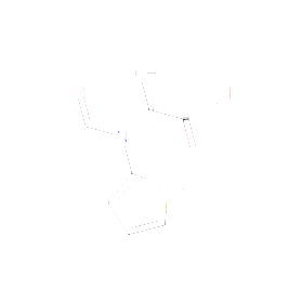 CC(C(=O)O)N(C=O)c1cccs1